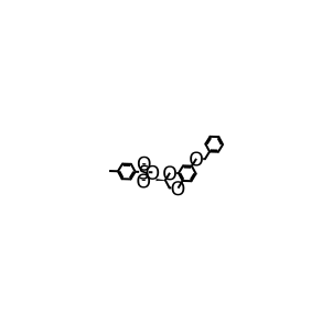 Cc1ccc(S(=O)(=O)OC[C@@H]2COc3ccc(OCc4ccccc4)cc3O2)cc1